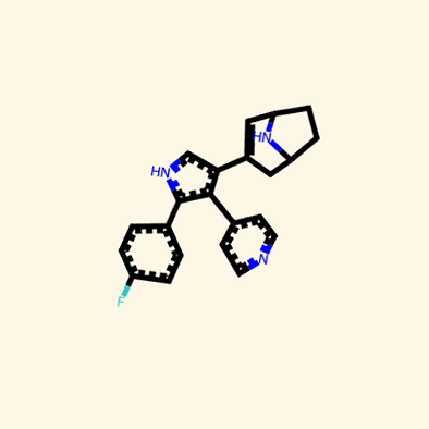 Fc1ccc(-c2[nH]cc(C3=CC4CCC(C3)N4)c2-c2ccncc2)cc1